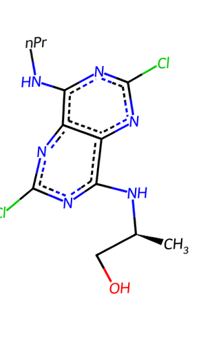 CCCNc1nc(Cl)nc2c(N[C@@H](C)CO)nc(Cl)nc12